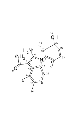 CC1=C(n2c(N)c(C(N)=O)c3c(C)c(C)cnc32)[C@H](C)[C@H](O)C=C1